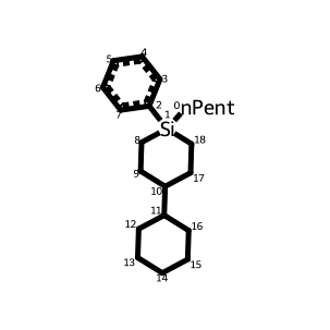 CCCCC[Si]1(c2ccccc2)CCC(C2CCCCC2)CC1